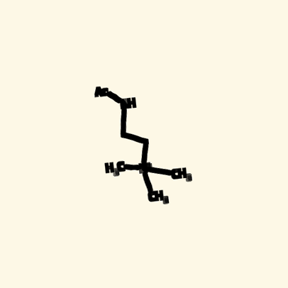 CC(=O)NCC[N+](C)(C)C